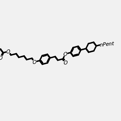 C=CC(=O)OCCCCCCOc1ccc(CCC(=O)Oc2ccc(C3CCC(CCCCC)CC3)cc2)cc1